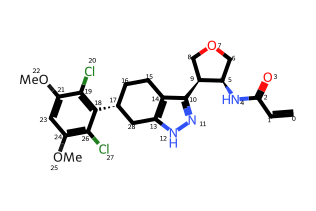 C=CC(=O)N[C@@H]1COC[C@@H]1c1n[nH]c2c1CC[C@@H](c1c(Cl)c(OC)cc(OC)c1Cl)C2